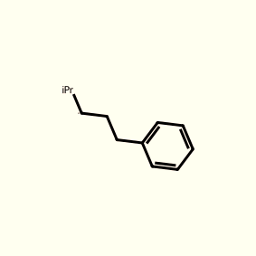 CC(C)[CH]CCc1ccccc1